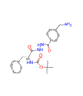 CC(C)(C)OC(=O)N[C@H](Cc1ccccc1)C(=O)NNC(=O)c1ccc(CN)cc1